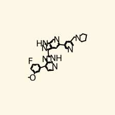 COc1cc(F)cc(-c2ccnc3[nH]c(-c4n[nH]c5cnc(-c6cncc(CN7CCCC7)c6)cc45)nc23)c1